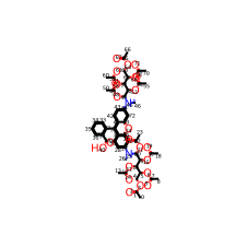 CC(=O)OCC(OC(C)=O)C(OC(C)=O)C(OC(C)=O)C(OC(C)=O)N(C)c1ccc2c(-c3ccccc3C(=O)O)c3cc/c(=[N+](/C)C(OC(C)=O)C(OC(C)=O)C(OC(C)=O)C(COC(C)=O)OC(C)=O)cc-3oc2c1